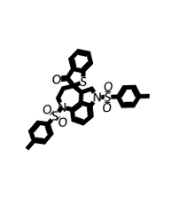 Cc1ccc(S(=O)(=O)N2CCC3(Sc4ccccc4C3=O)C3CN(S(=O)(=O)c4ccc(C)cc4)c4cccc2c43)cc1